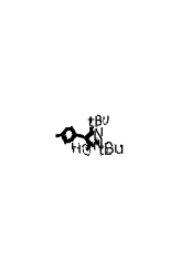 Cc1ccc(-c2c(C(C)(C)C)nn(C(C)(C)C)c2O)cc1